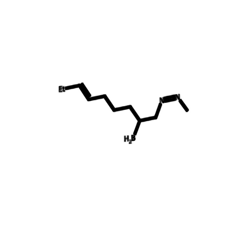 BC(CCCC=CCC)C/N=N\C